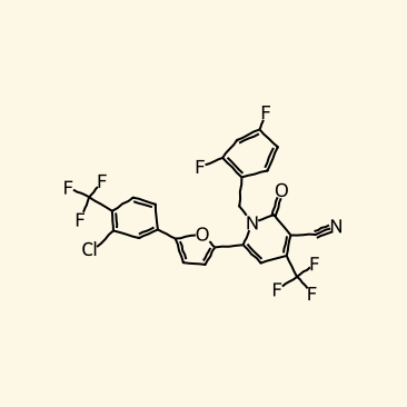 N#Cc1c(C(F)(F)F)cc(-c2ccc(-c3ccc(C(F)(F)F)c(Cl)c3)o2)n(Cc2ccc(F)cc2F)c1=O